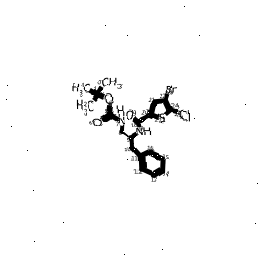 CC(C)(C)OC(=O)NC[C@H](Cc1ccccc1)NC(=O)c1cc(Br)c(Cl)s1